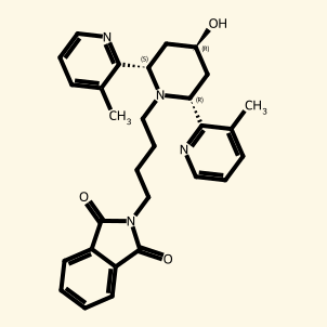 Cc1cccnc1[C@H]1C[C@H](O)C[C@@H](c2ncccc2C)N1CCCCN1C(=O)c2ccccc2C1=O